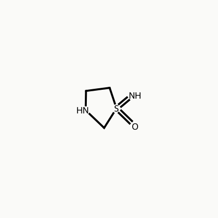 N=S1(=O)CCNC1